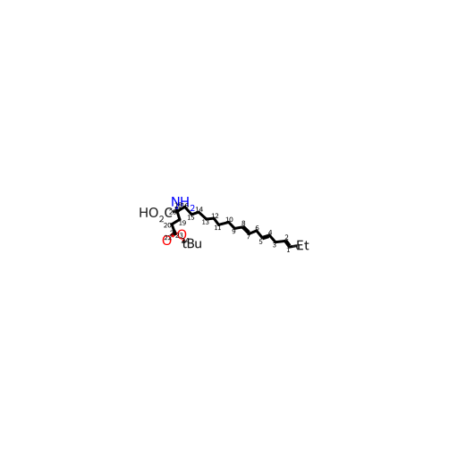 CCC=CCC=CCC=CCCCCCCCCC(N)(CCC(=O)OC(C)(C)C)C(=O)O